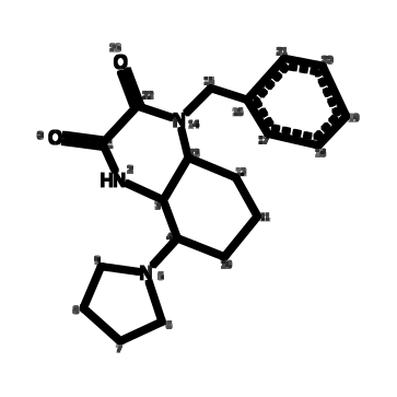 O=C1NC2C(N3CCCC3)CCCC2N(Cc2ccccc2)C1=O